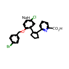 O=C(O)c1cccc(C2=C(c3cc(Cl)ccc3OCc3ccc(Br)cc3)CCC2)n1.[NaH]